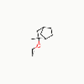 C=COC1(C)CC2CCC1C2